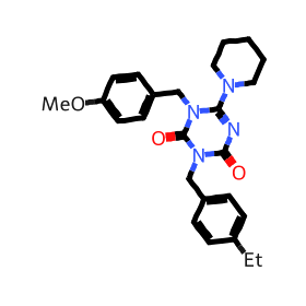 CCc1ccc(Cn2c(=O)nc(N3CCCCC3)n(Cc3ccc(OC)cc3)c2=O)cc1